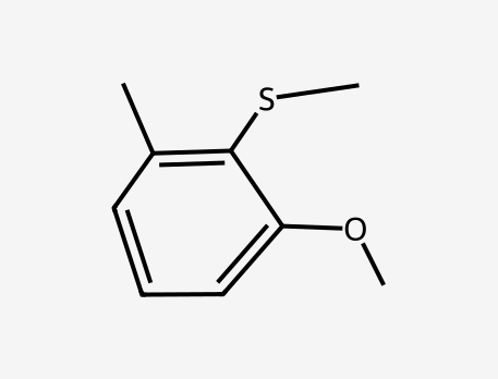 COc1cccc(C)c1SC